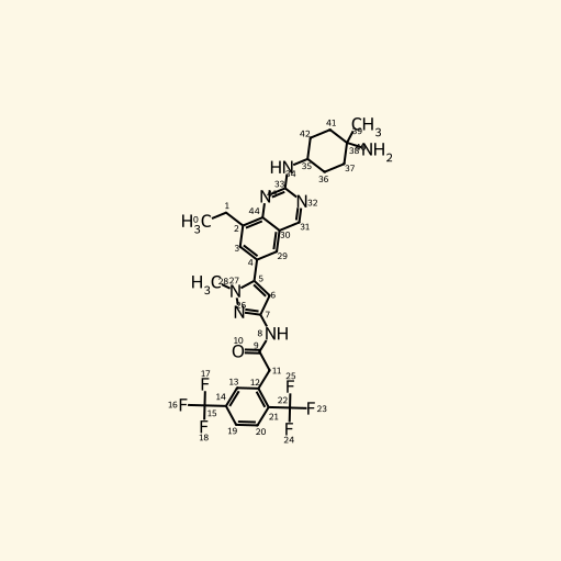 CCc1cc(-c2cc(NC(=O)Cc3cc(C(F)(F)F)ccc3C(F)(F)F)nn2C)cc2cnc(NC3CCC(C)(N)CC3)nc12